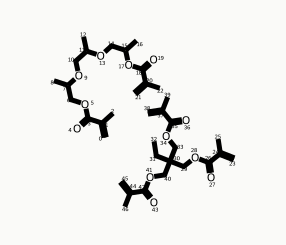 C=C(C)C(=O)OCC(C)OCC(C)OCC(C)OC(=O)C(=C)C.C=C(C)C(=O)OCC(CC)(COC(=O)C(=C)C)COC(=O)C(=C)C